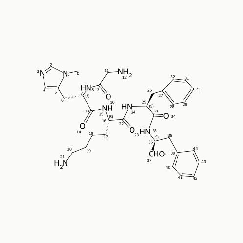 Cn1cncc1C[C@H](NC(=O)CN)C(=O)N[C@@H](CCCCN)C(=O)N[C@@H](Cc1ccccc1)C(=O)N[C@H]([C]=O)Cc1ccccc1